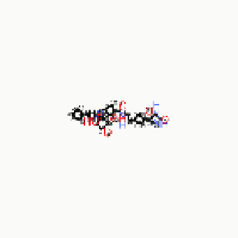 O=C1CC[C@@]2(O)[C@H]3Cc4ccc(C(=O)NCCc5ccc(-c6c[nH]c(=O)[nH]c6=O)cc5)c(O)c4[C@@]2(CCN3CCc2ccccc2)C1